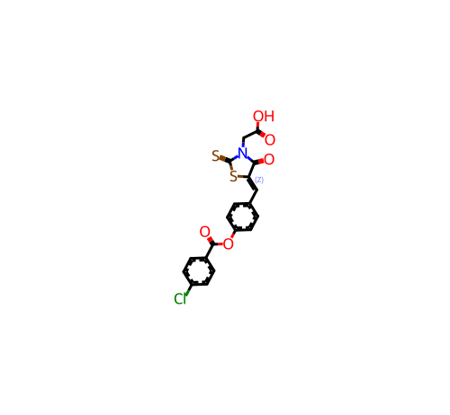 O=C(O)CN1C(=O)/C(=C/c2ccc(OC(=O)c3ccc(Cl)cc3)cc2)SC1=S